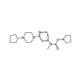 CN(C(=O)ON1CCCC1)c1ccnc(N2CCN(C3CCCC3)CC2)c1